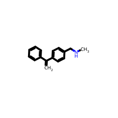 C=C(c1ccccc1)c1ccc(CNC)cc1